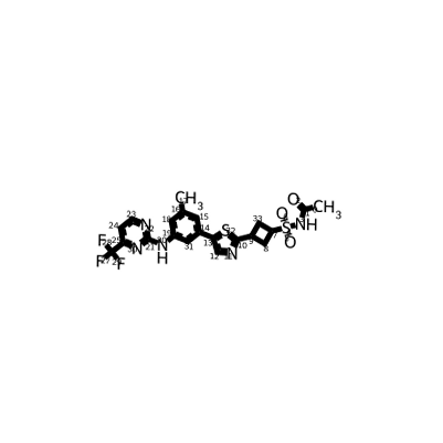 CC(=O)NS(=O)(=O)C1CC(c2ncc(-c3cc(C)cc(Nc4nccc(C(F)(F)F)n4)c3)s2)C1